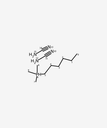 CCCCCC[PH](C)(C)C.N#CN.N#CN